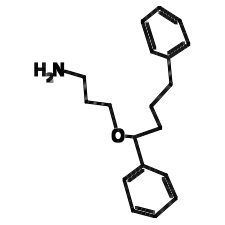 NCCCOC(CCCc1ccccc1)c1ccccc1